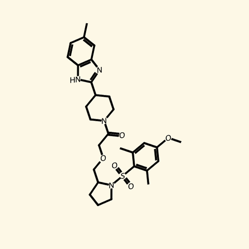 COc1cc(C)c(S(=O)(=O)N2CCCC2COCC(=O)N2CCC(c3nc4cc(C)ccc4[nH]3)CC2)c(C)c1